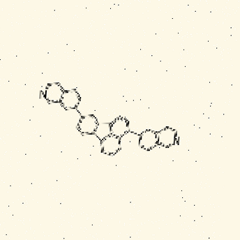 c1cc2c3c(ccc(-c4ccc5cnccc5c4)c3c1)-c1cc(-c3ccc4ccncc4c3)ccc1-2